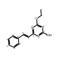 CCOc1nc(O)nc(C=Cc2ccccc2)n1